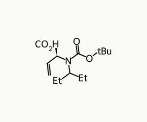 C=C[C@@H](C(=O)O)N(C(=O)OC(C)(C)C)C(CC)CC